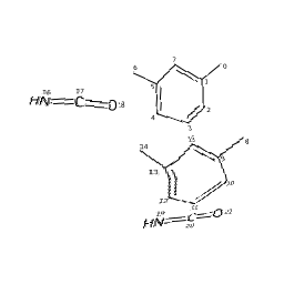 Cc1cccc(C)c1.Cc1cccc(C)c1.N=C=O.N=C=O